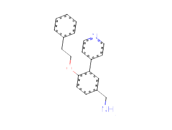 NCc1ccc(OCCc2ccccc2)c(-c2ccncc2)c1